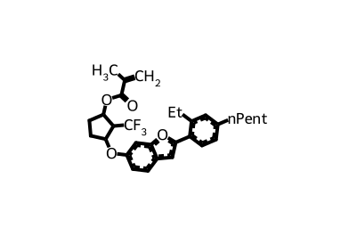 C=C(C)C(=O)OC1CCC(Oc2ccc3cc(-c4ccc(CCCCC)cc4CC)oc3c2)C1C(F)(F)F